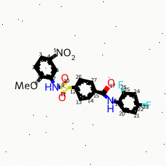 COc1ccc([N+](=O)[O-])cc1NS(=O)(=O)c1ccc(C(=O)Nc2ccc(F)cc2F)cc1